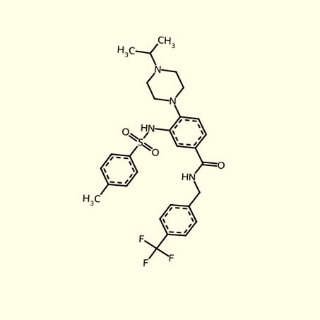 Cc1ccc(S(=O)(=O)Nc2cc(C(=O)NCc3ccc(C(F)(F)F)cc3)ccc2N2CCN(C(C)C)CC2)cc1